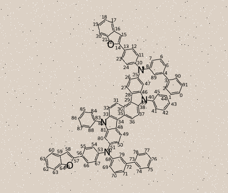 c1ccc(-c2cccc(N(c3ccc(-c4cc5ccccc5o4)cc3)c3ccc4c5c6ccc7c(c6ccc5n(-c5ccccc5)c4c3)c3ccc(N(c4ccc(-c5cc6ccccc6o5)cc4)c4cccc(-c5ccccc5)c4)cc3n7-c3ccccc3)c2)cc1